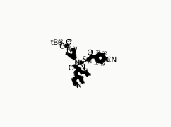 C=CCC1(Cc2ccncc2)N=C(SCC(=O)c2ccc(C#N)cc2)N(C2C3CN(C(=O)OC(C)(C)C)CC32)C1=O